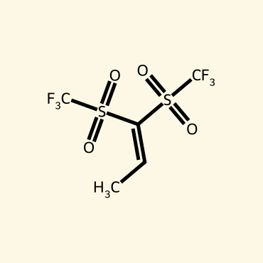 CC=C(S(=O)(=O)C(F)(F)F)S(=O)(=O)C(F)(F)F